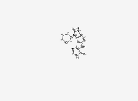 O=c1[nH]cccc1Nc1ncc2[nH]c(=O)n(C3CCCOC3)c2n1